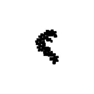 COc1cc(-c2nccc(-c3cccc(Nc4ncnc(CNC[C@@H]5CCC(=O)N5)c4F)c3Cl)c2Cl)ccc1CNC[C@H]1CCC(=O)N1